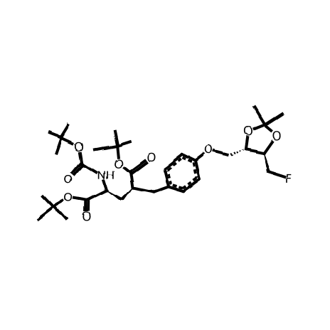 CC(C)(C)OC(=O)N[C@@H](C[C@H](Cc1ccc(OC[C@@H]2OC(C)(C)O[C@H]2CF)cc1)C(=O)OC(C)(C)C)C(=O)OC(C)(C)C